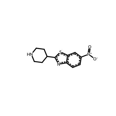 O=[N+]([O-])c1ccc2nc(C3CCNCC3)sc2c1